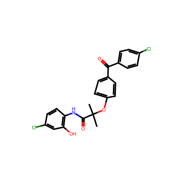 CC(C)(Oc1ccc(C(=O)c2ccc(Cl)cc2)cc1)C(=O)Nc1ccc(Cl)cc1O